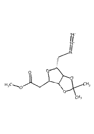 COC(=O)CC1O[C@H](CN=[N+]=[N-])C2OC(C)(C)OC12